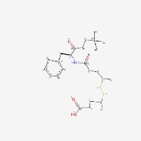 CC(CCC(=O)O)SSC(C)CCC(=O)N[C@@H](Cc1ccccc1)C(=O)CCC(C)(C)C